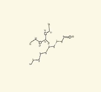 CCCCCCCCCC=O.CCOC(C)OCC